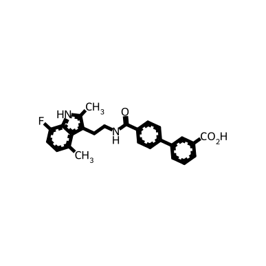 Cc1[nH]c2c(F)ccc(C)c2c1CCNC(=O)c1ccc(-c2cccc(C(=O)O)c2)cc1